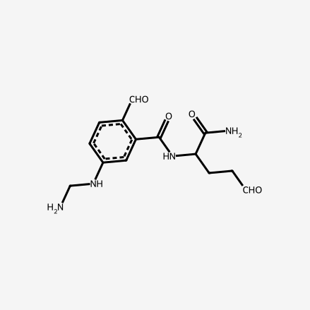 NCNc1ccc(C=O)c(C(=O)NC(CCC=O)C(N)=O)c1